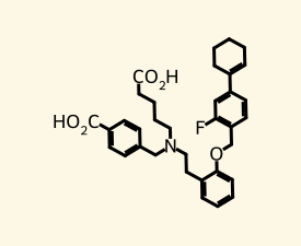 O=C(O)CCCCN(CCc1ccccc1OCc1ccc(C2=CCCCC2)cc1F)Cc1ccc(C(=O)O)cc1